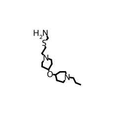 CCCN1CCC(OC2CCN(CCSCN)CC2)CC1